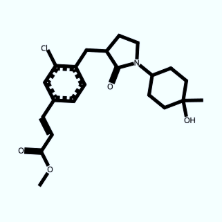 COC(=O)/C=C/c1ccc(CC2CCN(C3CCC(C)(O)CC3)C2=O)c(Cl)c1